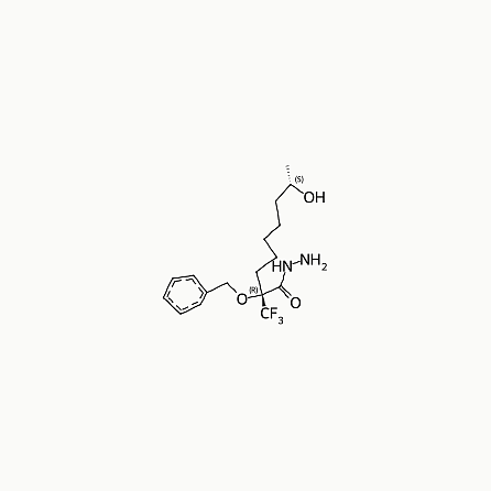 C[C@H](O)CCCCC[C@@](OCc1ccccc1)(C(=O)NN)C(F)(F)F